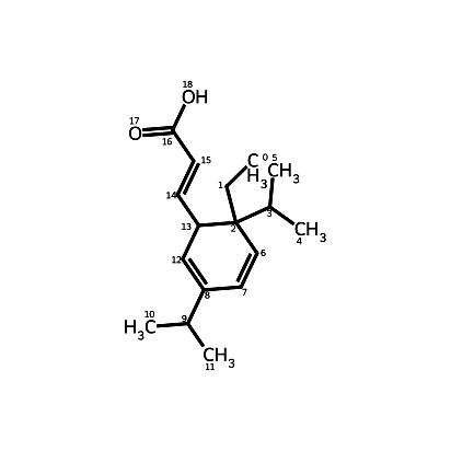 CCC1(C(C)C)C=CC(C(C)C)=CC1/C=C/C(=O)O